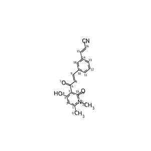 Cc1cc(O)c(C(=O)C=Cc2cccc(C=CC#N)c2)c(=O)n1C